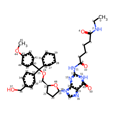 CCNC(=O)CCCCC(=O)Nc1nc2c(ncn2[C@H]2CC[C@@H](COC(c3ccccc3)(c3ccc(CO)cc3)c3ccc(OC)cc3)O2)c(=O)[nH]1